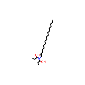 CCCCCCCCCCCCCCCCC=CN(C(O)CC)C(O)CC